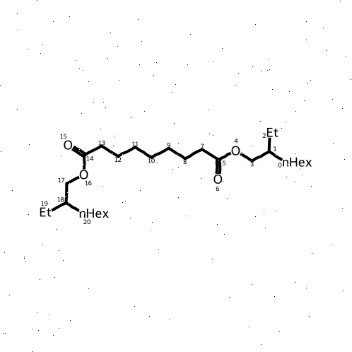 CCCCCCC(CC)COC(=O)CCCCCCCC(=O)OCC(CC)CCCCCC